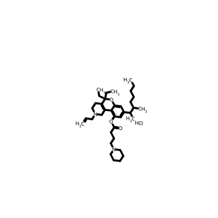 C=CCN1CCC2=C(C1)c1c(OC(=O)CCCN3CCCCC3)cc(C(C)C(C)CCCCC)cc1OC2(CC)CC.Cl